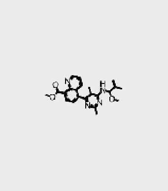 COC(=O)c1ccc(-c2nc(C)nc(NC(OC)C(C)C)c2C)c2cccnc12